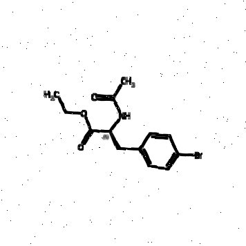 CCOC(=O)[C@H](Cc1ccc(Br)cc1)NC(C)=O